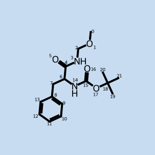 COCNC(=O)C(Cc1ccccc1)NC(=O)OC(C)(C)C